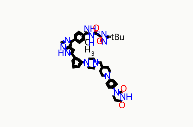 Cc1cc(-c2ncnc3[nH]c(-c4cccc(N5CCN(CC6CCN(c7ccc(N8CCC(=O)NC8=O)cc7)CC6)CC5)c4)cc23)ccc1[C@@H](N)NC(=O)c1nc(C(C)(C)C)no1